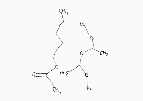 CCCCCOC(C)=O.CCOC(C)OC(C)OCC